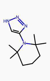 CC1(C)CCCC(C)(C)N1c1c[nH]nn1